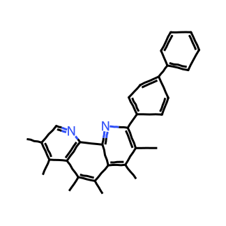 Cc1cnc2c(c1C)c(C)c(C)c1c(C)c(C)c(-c3ccc(-c4ccccc4)cc3)nc12